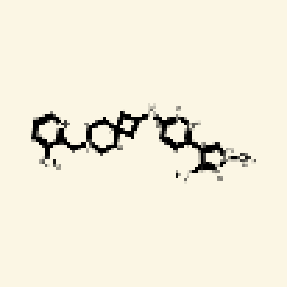 Cc1cccnc1CN1CCC2(CC1)CC(Oc1ccc(-c3cn(C)nc3C)nn1)C2